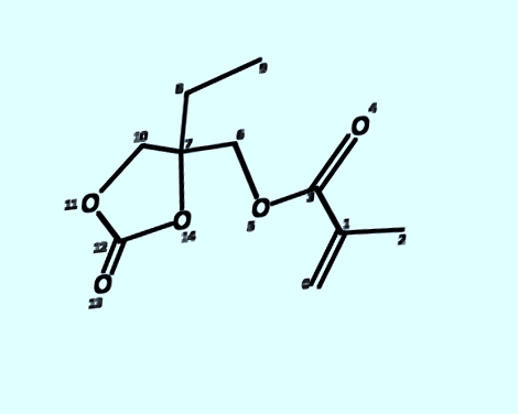 C=C(C)C(=O)OCC1(CC)COC(=O)O1